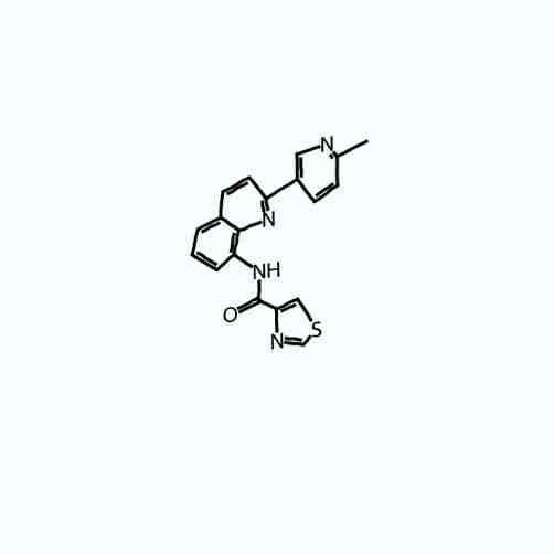 Cc1ccc(-c2ccc3cccc(NC(=O)c4cscn4)c3n2)cn1